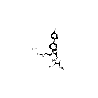 CCOCCn1c(CN[C@@H](C)C(N)=O)nc2cc(-c3ccc(Cl)cc3)ccc21.Cl